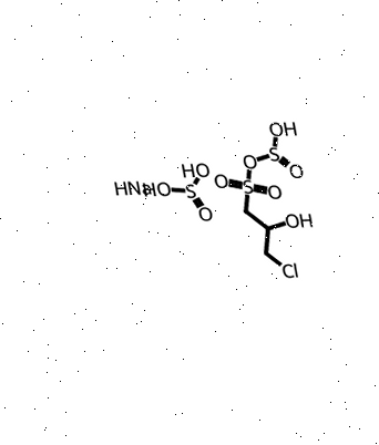 O=S(O)O.O=S(O)OS(=O)(=O)CC(O)CCl.[NaH]